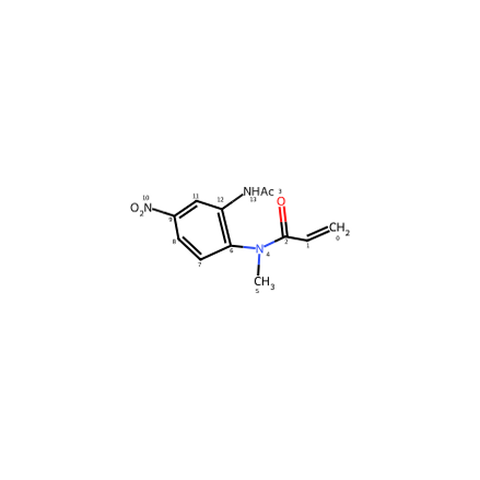 C=CC(=O)N(C)c1ccc([N+](=O)[O-])cc1NC(C)=O